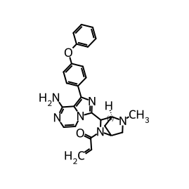 C=CC(=O)N1C2C[C@@H](C1c1nc(-c3ccc(Oc4ccccc4)cc3)c3c(N)nccn13)N(C)C2